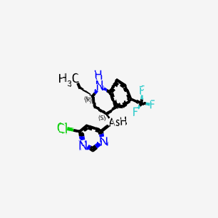 CC[C@@H]1C[C@H]([AsH]c2cc(Cl)ncn2)c2cc(C(F)(F)F)ccc2N1